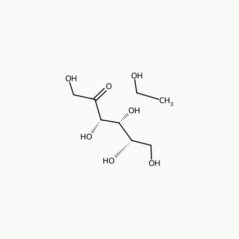 CCO.O=C(CO)[C@@H](O)[C@H](O)[C@@H](O)CO